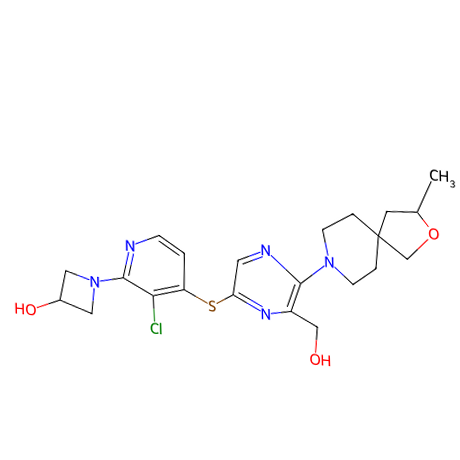 CC1CC2(CCN(c3ncc(Sc4ccnc(N5CC(O)C5)c4Cl)nc3CO)CC2)CO1